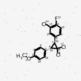 COc1ccc([C@@H]2[C@@H](c3ccc(F)c(Cl)c3)C2(Cl)Cl)cc1